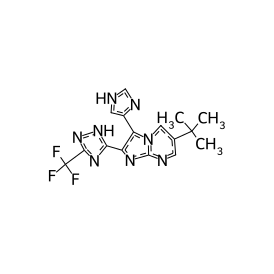 CC(C)(C)c1cnc2nc(-c3nc(C(F)(F)F)n[nH]3)c(-c3c[nH]cn3)n2c1